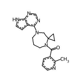 Cc1ncccc1C(=O)N1CCCN(c2ncnc3[nH]ccc23)CC12CC2